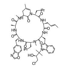 C/C=C/C[C@@H]1NC(=O)[C@H](CC(C)C)N2C=C(C)C[C@@H](C2=O)N(C)C(=O)[C@H](C)NC(=O)[C@H](Cc2ccc3ocnc3c2)NC(=O)[C@H](CC(C)C)N(C)C(=O)[C@H](Cc2cn(C(C)(C)[C@H](O)CCl)c3ccccc23)NC1=O